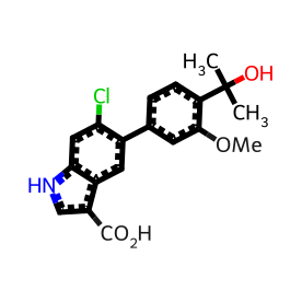 COc1cc(-c2cc3c(C(=O)O)c[nH]c3cc2Cl)ccc1C(C)(C)O